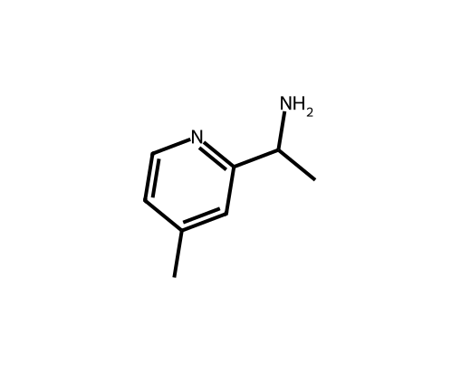 Cc1ccnc(C(C)N)c1